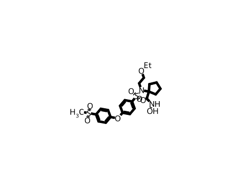 CCOCCN(C1(C(=O)NO)CCCC1)S(=O)(=O)c1ccc(Oc2ccc(S(C)(=O)=O)cc2)cc1